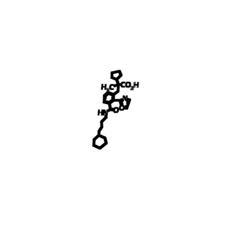 CC(Cc1cccc(C(=O)NCCCCC2CCCCC2)c1-c1ncco1)(C(=O)O)C1CCCC1